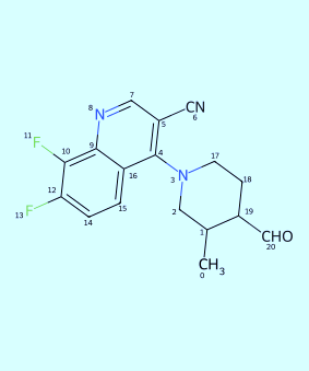 CC1CN(c2c(C#N)cnc3c(F)c(F)ccc23)CCC1C=O